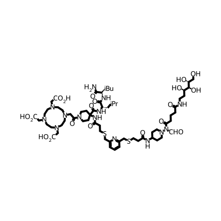 CC[C@H](C)[C@H](NC(=O)[C@H](CC(C)C)NC(=O)C1(NC(=O)CCSCc2cccc(CSCCC(=O)NC3CCN(N(C=O)C(=O)CCCC(=O)NCC[C@@H](O)[C@H](O)[C@H](O)CO)CC3)n2)CCN(C(=O)CN2CCN(CC(=O)O)CCN(CC(=O)O)CCN(CC(=O)O)CC2)CC1)C(N)=O